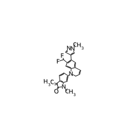 C[C@H]1C(=O)N(C)c2cc(N3CC=Cc4cc(-c5cnn(C)c5)c(C(F)F)cc43)ccc21